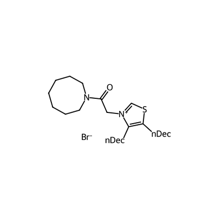 CCCCCCCCCCc1sc[n+](CC(=O)N2CCCCCCC2)c1CCCCCCCCCC.[Br-]